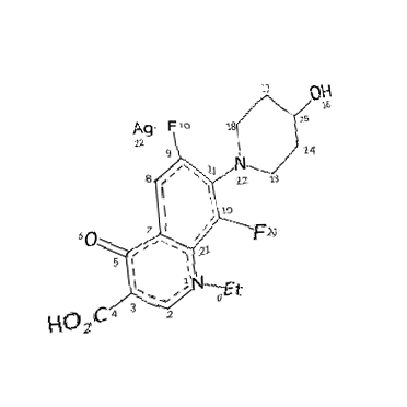 CCn1cc(C(=O)O)c(=O)c2cc(F)c(N3CCC(O)CC3)c(F)c21.[Ag]